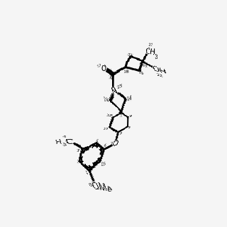 COc1cc(C)cc(OC2CCC3(CC2)CN(C(=O)C2CC(C)(O)C2)C3)c1